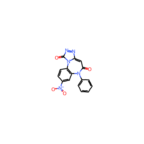 O=c1cc2nnc(=O)n-2c2ccc([N+](=O)[O-])cc2n1-c1ccccc1